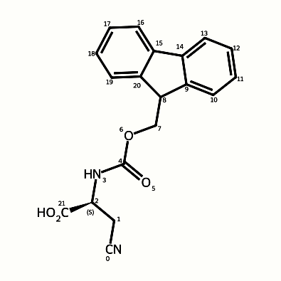 N#CC[C@H](NC(=O)OCC1c2ccccc2-c2ccccc21)C(=O)O